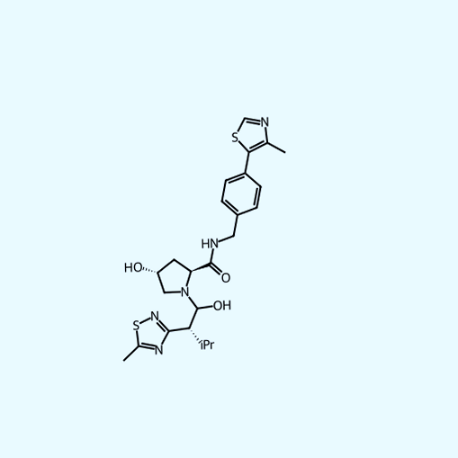 Cc1nc([C@@H](C(C)C)C(O)N2C[C@H](O)C[C@H]2C(=O)NCc2ccc(-c3scnc3C)cc2)ns1